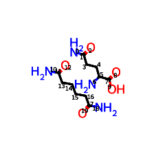 NC(=O)CCC(N)C(=O)O.NC(=O)CCCCC(N)=O